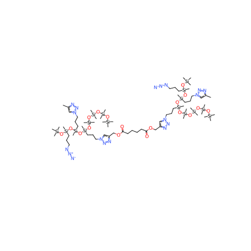 Cc1cn(CCC[Si](C)(O[Si](C)(CCCN=[N+]=[N-])O[Si](C)(C)C)O[Si](C)(CCCn2cc(COC(=O)CCCCC(=O)OCc3cn(CCC[Si](C)(O[Si](C)(C)O[Si](C)(C)O[Si](C)(C)O[Si](C)(C)C)O[Si](C)(CCCn4cc(C)nn4)O[Si](C)(CCCN=[N+]=[N-])O[Si](C)(C)C)nn3)nn2)O[Si](C)(C)O[Si](C)(C)O[Si](C)(C)O[Si](C)(C)C)nn1